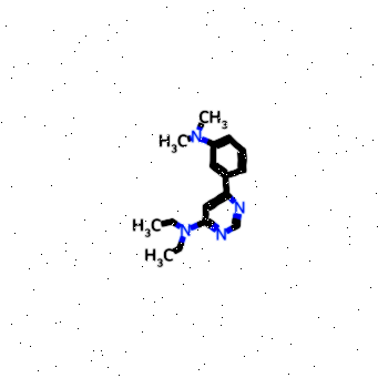 CCN(CC)c1cc(-c2cccc(N(C)C)c2)ncn1